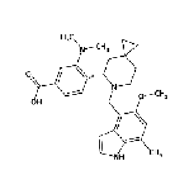 COc1cc(C)c2[nH]ccc2c1CN1CCC2(CC2)C[C@H]1c1ccc(C(=O)O)cc1N(C)C